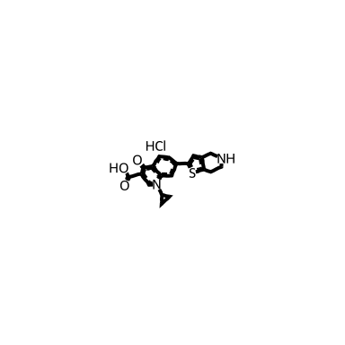 Cl.O=C(O)c1cn(C2CC2)c2cc(-c3cc4c(s3)CCNC4)ccc2c1=O